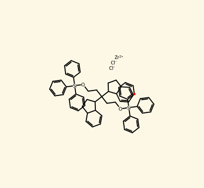 C1=CC2CCC(C(CCO[Si](c3ccccc3)(c3ccccc3)c3ccccc3)(CCO[Si](c3ccccc3)(c3ccccc3)c3ccccc3)C3CCC4C=CC=CC43)C2C=C1.[Cl-].[Cl-].[Zr+2]